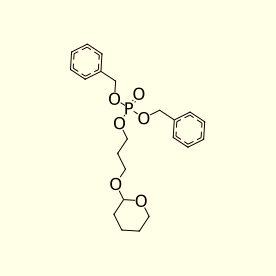 O=P(OCCCOC1CCCCO1)(OCc1ccccc1)OCc1ccccc1